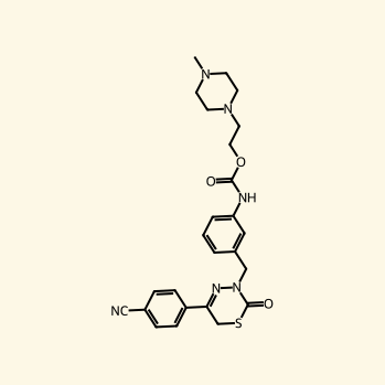 CN1CCN(CCOC(=O)Nc2cccc(CN3N=C(c4ccc(C#N)cc4)CSC3=O)c2)CC1